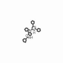 C1=C(c2ccccc2)N=C(c2ccccc2)NC1n1c2ccccc2c2c3c(ccc21)NC(c1ccccc1)O3